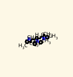 Cc1ccc2c(c1)C(C)(C)C(/C=C/C1=C(N(c3ccccc3)c3ccccc3)C(C/C=C3/N(C)c4ccc(C)cc4C3(C)C)CC1)=[N+]2C